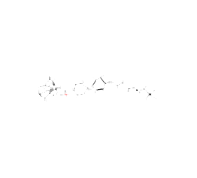 COC1(OO[C@H]2CC[C@@H](c3ccc(OCCCCNCC(C)(C)O)cc3)CC2)C2CC3CC(C2)CC1C3